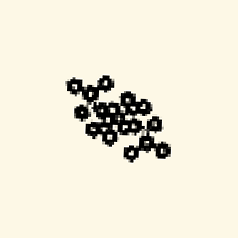 c1ccc(-c2cc(-c3ccccc3)cc(N(c3ccccc3)c3ccc4c(ccc5c(-c6cc7ccccc7c7ccccc67)c6c(ccc7cc(N(c8ccccc8)c8cc(-c9ccccc9)cc(-c9ccccc9)c8)ccc76)c(-c6cc7ccccc7c7ccccc67)c54)c3)c2)cc1